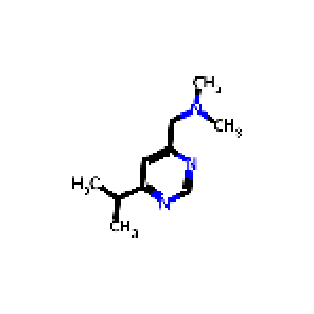 CC(C)c1cc(CN(C)C)ncn1